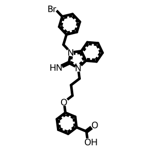 N=c1n(CCCOc2cccc(C(=O)O)c2)c2ccccc2n1Cc1cccc(Br)c1